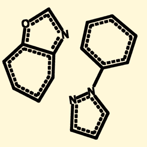 c1ccc(-n2cccn2)cc1.c1ccc2ocnc2c1